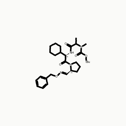 CC(C(=O)N[C@H](C(=O)N1CCC[C@H]1C=NOCc1ccccc1)C1CCCCC1)N(C)C(=O)OC(C)(C)C